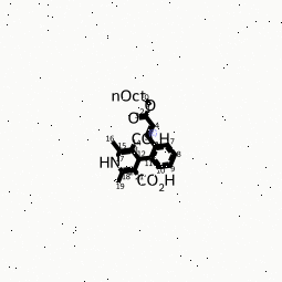 CCCCCCCCOC(=O)/C=C/c1ccccc1C1C(C(=O)O)=C(C)NC(C)=C1C(=O)O